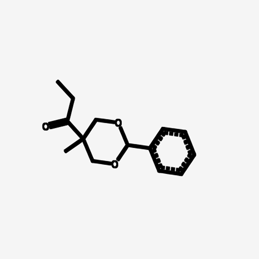 CCC(=O)C1(C)COC(c2ccccc2)OC1